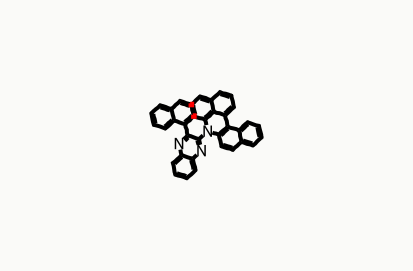 c1ccc2c(-c3nc4ccccc4nc3N3c4ccc5ccccc5c4-c4cccc5cccc3c45)cccc2c1